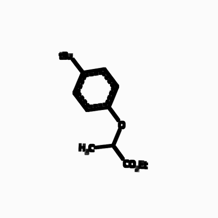 CCOC(=O)C(C)Oc1ccc(C(C)(C)C)cc1